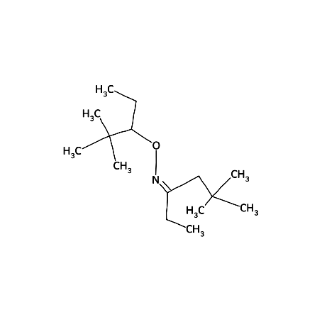 CC/C(CC(C)(C)C)=N/OC(CC)C(C)(C)C